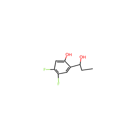 CCC(O)c1cc(F)c(F)cc1O